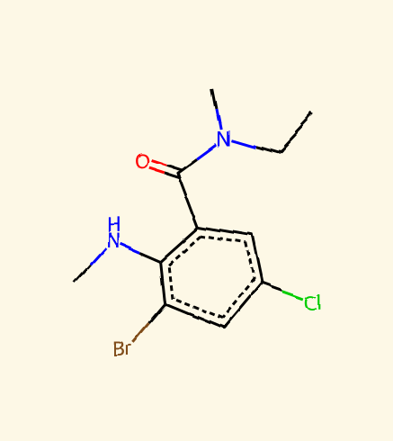 CCN(C)C(=O)c1cc(Cl)cc(Br)c1NC